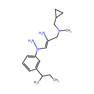 CCC(C)c1cccc(N(N)/C=C(\N)CN(C)CC2CC2)c1